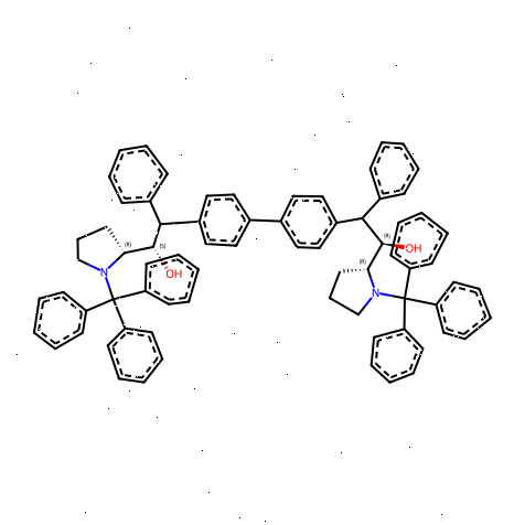 O[C@H](C(c1ccccc1)c1ccc(-c2ccc(C(c3ccccc3)[C@H](O)[C@H]3CCCN3C(c3ccccc3)(c3ccccc3)c3ccccc3)cc2)cc1)[C@H]1CCCN1C(c1ccccc1)(c1ccccc1)c1ccccc1